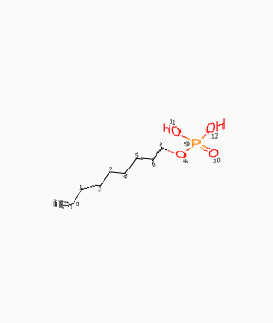 CC(C)CCCCCCCOP(=O)(O)O